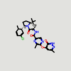 Cc1cc(Oc2ncc(C(=O)N[C@H](C)C(=O)N3[C@H](C4C=C(Cl)C=CC4C)CC[C@@H]3C(C)(C)C#N)nc2C)c(=O)[nH]n1